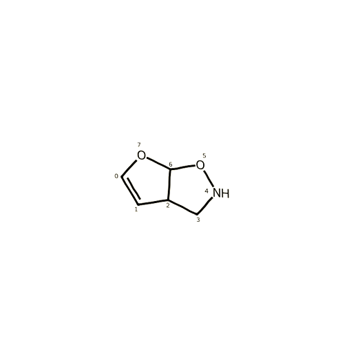 C1=CC2CNOC2O1